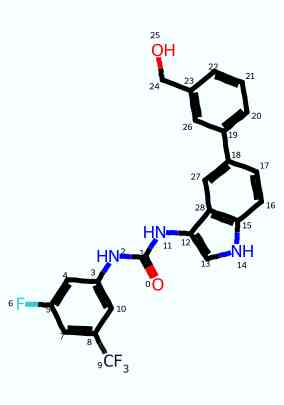 O=C(Nc1cc(F)cc(C(F)(F)F)c1)Nc1c[nH]c2ccc(-c3cccc(CO)c3)cc12